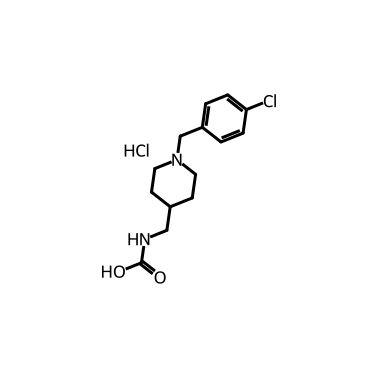 Cl.O=C(O)NCC1CCN(Cc2ccc(Cl)cc2)CC1